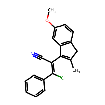 COc1ccc2c(c1)C(C(C#N)=C(Cl)c1ccccc1)=C(C)C2